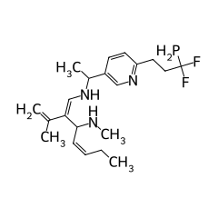 C=C(C)/C(=C/NC(C)c1ccc(CCC(F)(F)P)nc1)C(/C=C\CC)NC